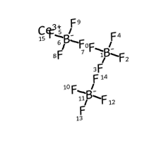 F[B-](F)(F)F.F[B-](F)(F)F.F[B-](F)(F)F.[Ce+3]